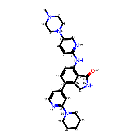 CN1CCN(c2ccc(Nc3ccc(-c4ccnc(N5CCCCC5)c4)c4c3C(=O)NC4)nc2)CC1